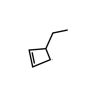 CCC1[CH]C=C1